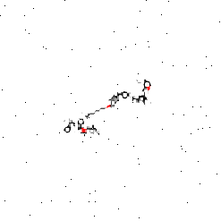 CC[C@H](NC(=O)[C@H]1C[C@@H](NCCCCCCCCC(=O)N2CCN(C(=O)c3ccc(NC(=O)c4cnc(N)c(O[C@H](C)c5c(F)ccc(Cl)c5F)c4)cc3)CC2)CN1C(=O)C(CNC(=O)[C@@H](C)NC)C(C)(C)C)c1ccccc1